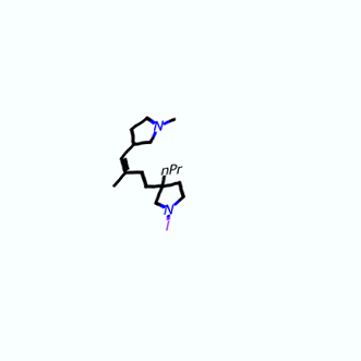 CCCC1(CC/C(C)=C\C2CCN(C)C2)CCN(I)C1